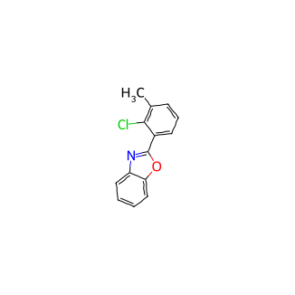 Cc1cccc(-c2nc3ccccc3o2)c1Cl